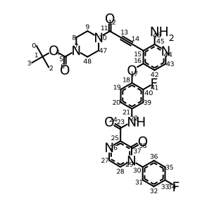 CC(C)(C)OC(=O)N1CCN(C(=O)C#Cc2c(Oc3ccc(NC(=O)c4nccn(-c5ccc(F)cc5)c4=O)cc3F)ccnc2N)CC1